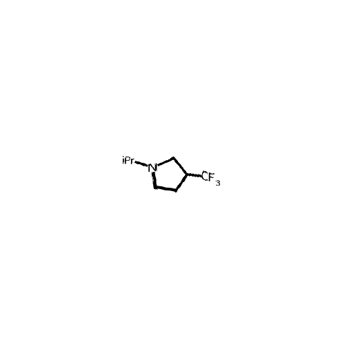 CC(C)N1CCC(C(F)(F)F)C1